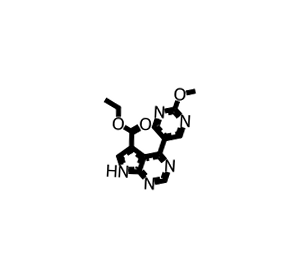 CCOC(=O)c1c[nH]c2ncnc(-c3cnc(OC)nc3)c12